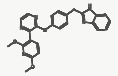 COc1ccc(-c2nccnc2Oc2ccc([C]c3nc4ccccc4[nH]3)cc2)c(OC)n1